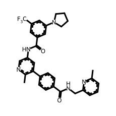 Cc1cccc(CNC(=O)c2ccc(-c3cc(NC(=O)c4cc(N5CCCC5)cc(C(F)(F)F)c4)cnc3C)cc2)n1